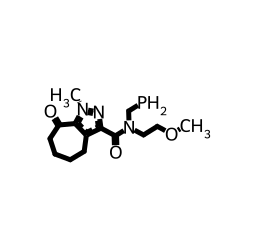 COCCN(CP)C(=O)c1nn(C)c2c1CCCCC2=O